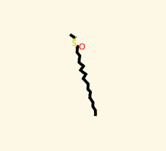 C[CH]SC(=O)CCCCCCCCCCCCCCC